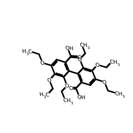 CCOc1cc(C(=O)O)c(-c2c(C(=O)O)cc(OCC)c(OCC)c2OCC)c(OCC)c1OCC